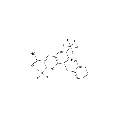 Cc1cccnc1Cc1cc(S(F)(F)(F)(F)F)cc2c1OC(C(F)(F)F)C(C(=O)O)=C2